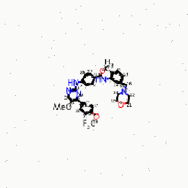 COc1cnc(Nc2ccc(C(=O)Nc3cc(CN4CCOCC4)ccc3C)cc2)nc1-c1ccc(OC(F)(F)F)cc1